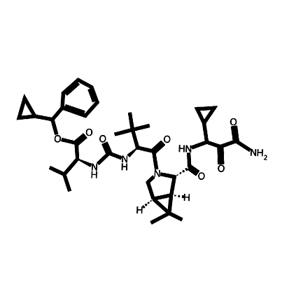 CC(C)[C@H](NC(=O)N[C@H](C(=O)N1C[C@H]2[C@@H]([C@H]1C(=O)NC(C(=O)C(N)=O)C1CC1)C2(C)C)C(C)(C)C)C(=O)OC(c1ccccc1)C1CC1